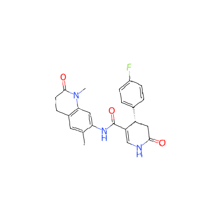 Cc1cc2c(cc1NC(=O)C1=CNC(=O)C[C@H]1c1ccc(F)cc1)N(C)C(=O)CC2